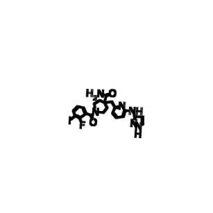 NC(=O)C1(Cc2cccc(Nc3cc[nH]n3)n2)CCN(C(=O)c2cccc(I)c2F)CC1